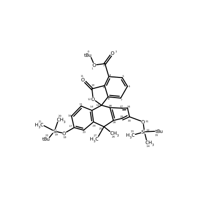 CC(C)(C)OC(=O)c1cccc2c1C(=O)OC21c2ccc(O[Si](C)(C)C(C)(C)C)cc2C(C)(C)c2cc(O[Si](C)(C)C(C)(C)C)ccc21